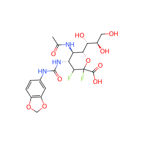 CC(=O)N[C@H]1[C@H]([C@H](O)[C@H](O)CO)OC(F)(C(=O)O)C(F)[C@@H]1NC(=O)Nc1ccc2c(c1)OCO2